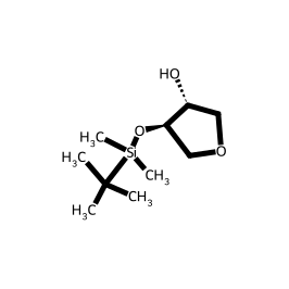 CC(C)(C)[Si](C)(C)O[C@@H]1COC[C@H]1O